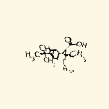 CC(C)(C)c1ccc([C@@H]2[C@H](C(=O)O)C2(C)C)cc1